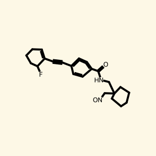 O=NCC1(CNC(=O)C2=C=C=C(C#CC3=CCCCC3F)C=C2)CCCCC1